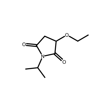 CCOC1CC(=O)N(C(C)C)C1=O